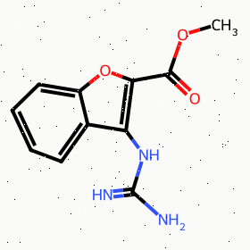 COC(=O)c1oc2ccccc2c1NC(=N)N